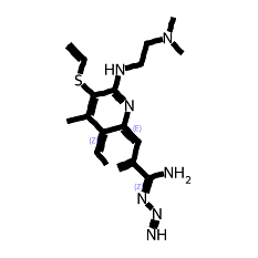 C=CSc1c(NCCN(C)C)nc(=C/C(=C)/C(N)=N/N=N)/c(=C\C)c1C